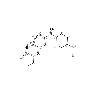 CCc1cc2cc(C(=O)C3CCC(CC)CC3)ccc2[nH]c1=S